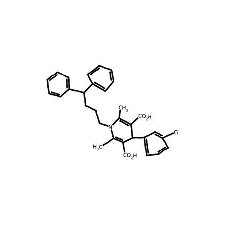 CC1=C(C(=O)O)C(c2cccc(Cl)c2)C(C(=O)O)=C(C)N1CCCC(c1ccccc1)c1ccccc1